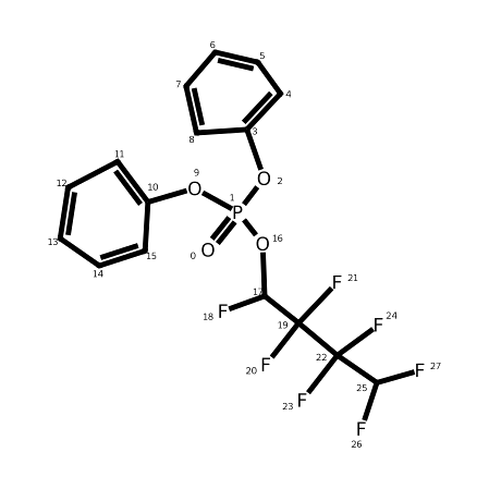 O=P(Oc1ccccc1)(Oc1ccccc1)OC(F)C(F)(F)C(F)(F)C(F)F